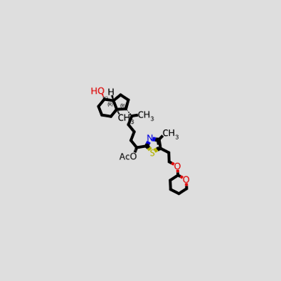 CC(=O)OC(CCCC(C)[C@H]1CC[C@H]2[C@@H](O)CCC[C@]12C)c1nc(C)c(CCOC2CCCCO2)s1